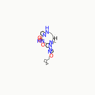 C[C@H]1CCNc2cccc(n2)S(=O)(=O)NC(=O)c2ccc(-n3ccc(OCCC4CCC45CC5)n3)nc2N2C[C@@H]1CC2(C)C